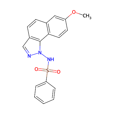 COc1ccc2c(ccc3cnn(NS(=O)(=O)c4ccccc4)c32)c1